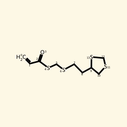 C=CC(=O)SCSCCC1CSCS1